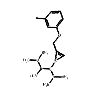 BB(B)B(B)B(B(B)B)B1C=C1COc1cccc(C)c1